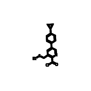 CCSCc1cc(-c2ccc(C3CC3)cc2)cnc1C(=O)Cl